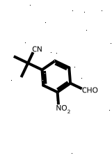 CC(C)(C#N)c1ccc(C=O)c([N+](=O)[O-])c1